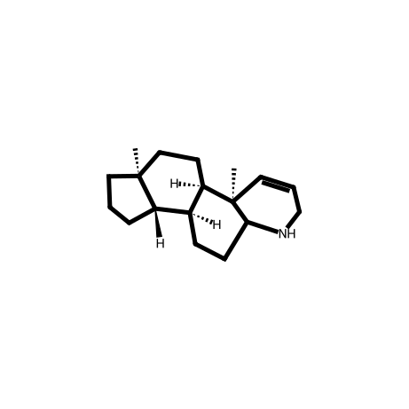 C[C@@]12CCC[C@H]1[C@@H]1CCC3NCC=C[C@]3(C)[C@@H]1CC2